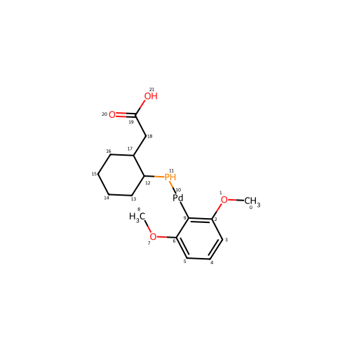 COc1cccc(OC)[c]1[Pd][PH]C1CCCCC1CC(=O)O